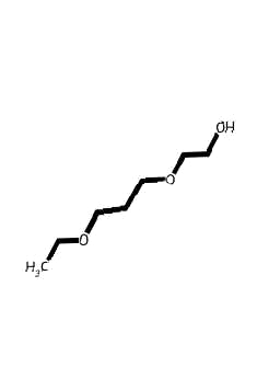 CCOCCCOCCO